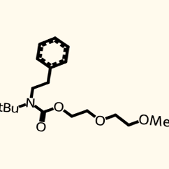 COCCOCCOC(=O)N(CCc1ccccc1)C(C)(C)C